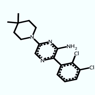 CC1(C)CCN(c2cnc(-c3cccc(Cl)c3Cl)c(N)n2)CC1